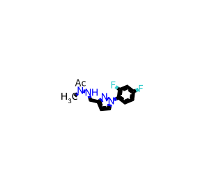 CC(=O)N(C)NCc1ccn(-c2ccc(F)cc2F)n1